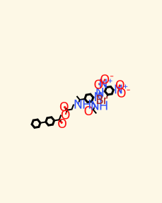 CC(=O)Nc1cc(C(C)NCCC(=O)OCC(=O)c2ccc(-c3ccccc3)cc2)ccc1N=Nc1c(Br)cc([N+](=O)[O-])cc1[N+](=O)[O-]